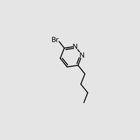 CCCCc1ccc(Br)nn1